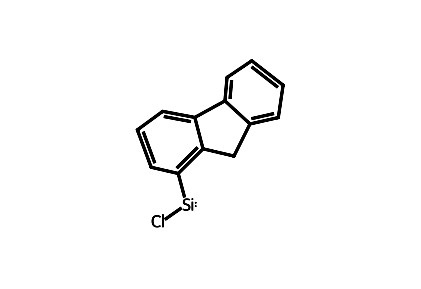 Cl[Si]c1cccc2c1Cc1ccccc1-2